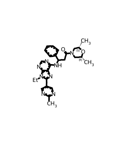 CCn1c(-c2cnc(C)nc2)nc2c(NC(CC(=O)N3C[C@@H](C)O[C@@H](C)C3)c3ccccc3)ncnc21